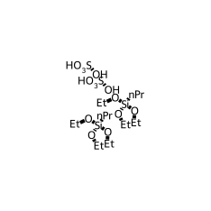 CCC[Si](OCC)(OCC)OCC.CCC[Si](OCC)(OCC)OCC.O=S(=O)(O)O.O=S(=O)(O)O